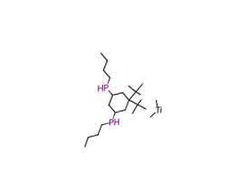 CCCCPC1CC(PCCCC)CC(C(C)(C)C)(C(C)(C)C)C1.[CH3][Ti][CH3]